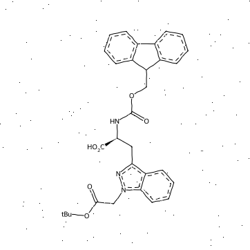 CC(C)(C)OC(=O)Cn1nc(C[C@H](NC(=O)OCC2c3ccccc3-c3ccccc32)C(=O)O)c2ccccc21